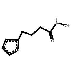 O=C(CCCc1cccs1)NO